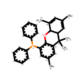 CC(C)(C)C1=CC2C(Oc3c(P(c4ccccc4)c4ccccc4)cc(C(C)(C)C)cc3C2(C)C)C([SiH3])=C1